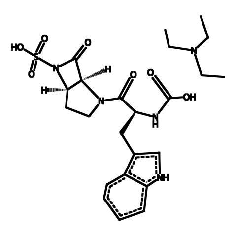 CCN(CC)CC.O=C(O)N[C@@H](Cc1c[nH]c2ccccc12)C(=O)N1CC[C@@H]2[C@H]1C(=O)N2S(=O)(=O)O